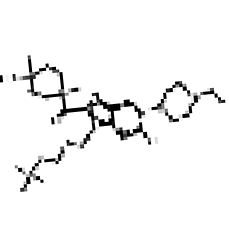 CCN1CCN(c2cc3nc(C(=O)C4(C)CCC(C)(O)CC4)n(COCC[Si](C)(C)C)c3cc2Cl)CC1